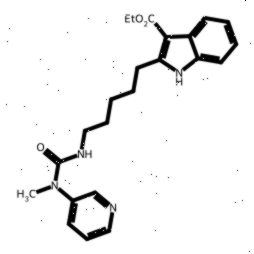 CCOC(=O)c1c(CCCCCNC(=O)N(C)c2cccnc2)[nH]c2ccccc12